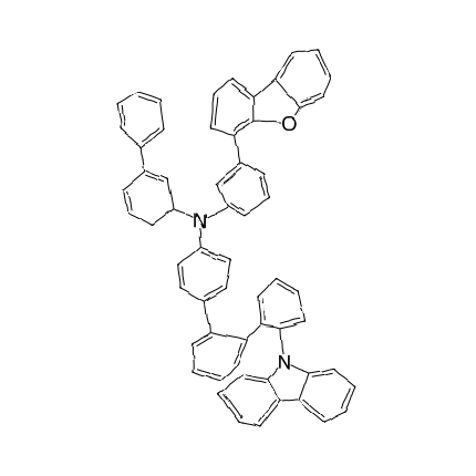 C1=CC(c2ccccc2)=CC(N(c2ccc(-c3ccccc3-c3ccccc3-n3c4ccccc4c4ccccc43)cc2)c2cccc(-c3cccc4c3oc3ccccc34)c2)C1